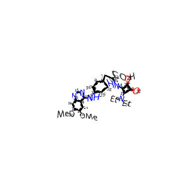 CCN(CC)c1c(N[C@@H](Cc2ccc(Nc3ncnc4cc(OC)c(OC)cc34)cc2)C(=O)O)c(=O)c1=O